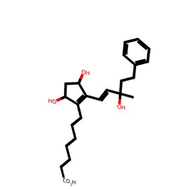 CC(O)(C=CC1=C(CCCCCCC(=O)O)C(O)CC1O)CCc1ccccc1